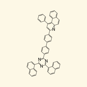 c1ccc(-c2cc(-c3ccc(-c4ccc(-c5nc(-c6cccc7ccccc67)nc(-c6cccc7ccccc67)n5)cc4)cc3)nc3ccc4ccccc4c23)cc1